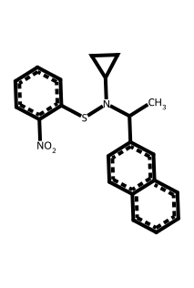 CC(c1ccc2ccccc2c1)N(Sc1ccccc1[N+](=O)[O-])C1CC1